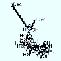 CCCCCCCCCCCCC/C=C/[C@@H](O)[C@H](CO[C@@H]1OC(CO)[C@@H](O[C@@H]2OC(CO)[C@H](O)[C@H](O[C@@H]3OC(CO)[C@@H](O[C@@H]4OC(CO)[C@H](O)[C@H](O[C@@H]5OC(CO)[C@H](O)[C@H](O)C5NC(C)=O)C4O[C@H]4OC(C)[C@@H](O)C(O)[C@@H]4O)[C@H](O)C3NC(C)=O)C2O)[C@H](O)C1O)NC(=O)CCCCCCCCCCCCCCCCCCCCCCCCC